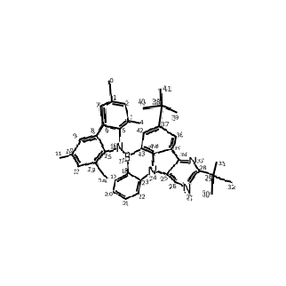 Cc1cc(C)c2c(c1)c1cc(C)cc(C)c1n2B1c2ccccc2-n2c3cnc(C(C)(C)C)nc3c3cc(C(C)(C)C)cc1c32